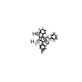 Cc1nc(-c2ccccc2O)n(CCc2ccccc2)c(=O)c1-c1ccc(F)cc1